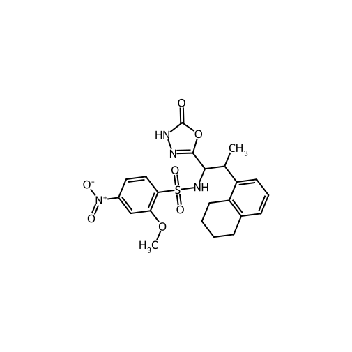 COc1cc([N+](=O)[O-])ccc1S(=O)(=O)NC(c1n[nH]c(=O)o1)C(C)c1cccc2c1CCCC2